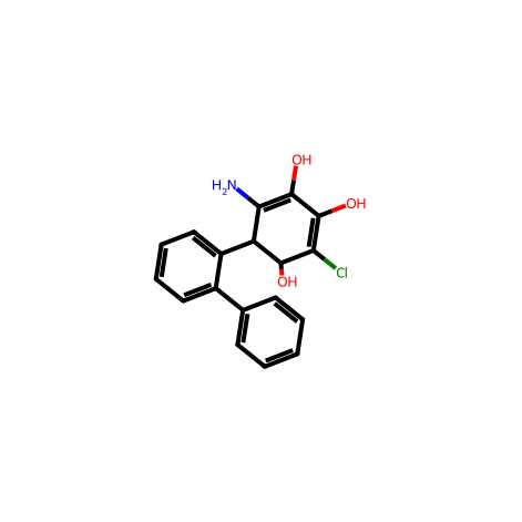 NC1=C(O)C(O)=C(Cl)C(O)C1c1ccccc1-c1ccccc1